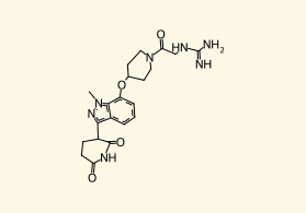 Cn1nc(C2CCC(=O)NC2=O)c2cccc(OC3CCN(C(=O)CNC(=N)N)CC3)c21